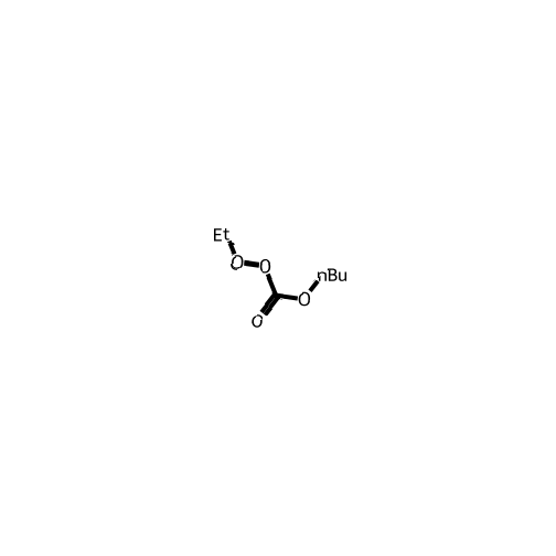 CCCCOC(=O)OOCC